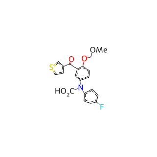 COCOc1ccc(N(C(=O)O)c2ccc(F)cc2)cc1C(=O)c1ccsc1